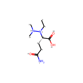 CCN([C@@H](CCC(N)=O)C(=O)O)N(C)C